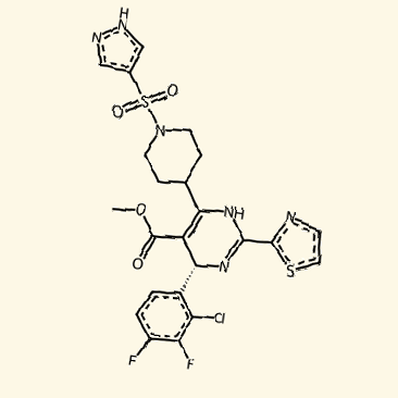 COC(=O)C1=C(C2CCN(S(=O)(=O)c3cn[nH]c3)CC2)NC(c2nccs2)=N[C@@H]1c1ccc(F)c(F)c1Cl